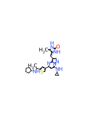 C=c1[nH]c(=O)[nH]/c1=C\c1cnn2c(NC3CC3)cc(-c3csc(C(C)NC4CCCC4)c3)nc12